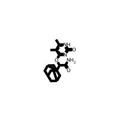 Cc1[nH]c(=O)nc(OC(C(N)=O)C23CC4CC(CC(C4)C2)C3)c1C